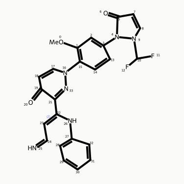 COc1cc(-n2c(=O)ccn2C(F)F)ccc1-n1ccc(=O)c(/C(=C/C=N)Nc2ccccc2)n1